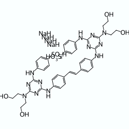 O=S(=O)(O)c1ccc(Nc2nc(Nc3ccc(C=Cc4ccc(Nc5nc(Nc6ccc(S(=O)(=O)O)cc6)nc(N(CCO)CCO)n5)cc4)cc3)nc(N(CCO)CCO)n2)cc1.[NaH].[NaH].[NaH].[NaH]